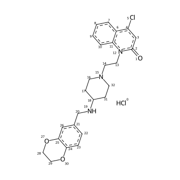 Cl.O=c1cc(Cl)c2ccccc2n1CCN1CCC(NCc2ccc3c(c2)OCCO3)CC1